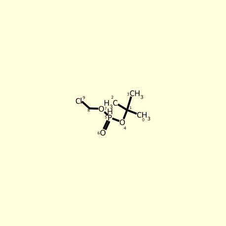 CC(C)(C)O[PH](=O)OCCl